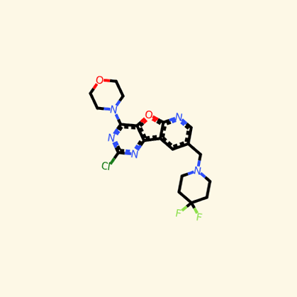 FC1(F)CCN(Cc2cnc3oc4c(N5CCOCC5)nc(Cl)nc4c3c2)CC1